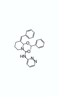 CC(OC1/C(=C\c2ccccc2)CCCN1C(=O)Nc1cccnn1)c1ccccc1